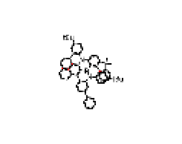 CC(C)(C)c1ccc(N2B3c4c(ccc5c4-c4ccccc4C5(C)C)N(c4ccc(C(C)(C)C)cc4-c4ccccc4)c4cc5ccccc5c(c43)-c3ccc(-c4ccccc4)cc32)cc1